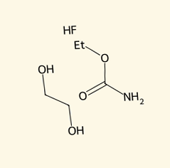 CCOC(N)=O.F.OCCO